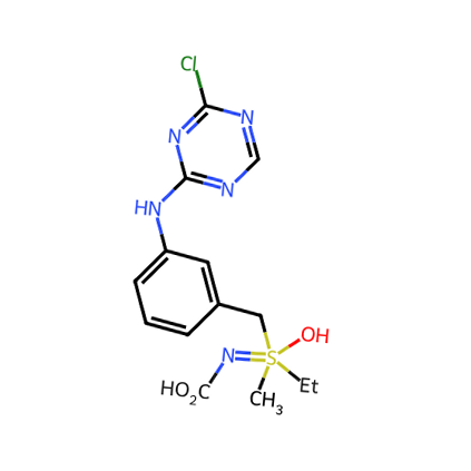 CCS(C)(O)(Cc1cccc(Nc2ncnc(Cl)n2)c1)=NC(=O)O